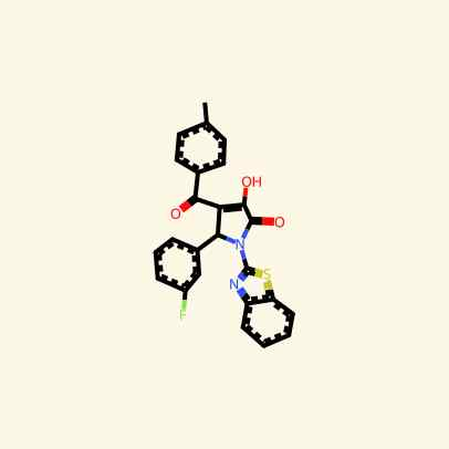 Cc1ccc(C(=O)C2=C(O)C(=O)N(c3nc4ccccc4s3)C2c2cccc(F)c2)cc1